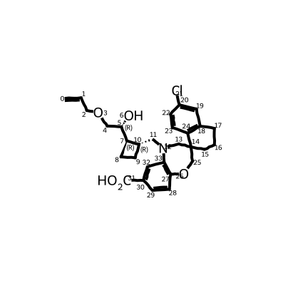 C=CCOC[C@H](O)[C@@H]1CC[C@H]1CN1CC2(CCCc3cc(Cl)ccc32)COc2ccc(C(=O)O)cc21